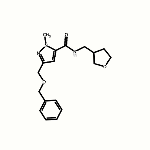 Cn1nc(COCc2ccccc2)cc1C(=O)NCC1CCOC1